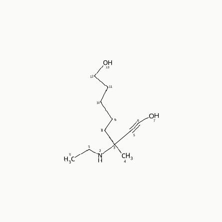 CCNC(C)(C#CO)CCCCCO